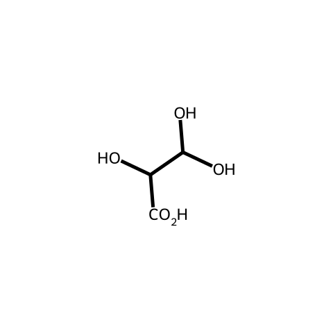 O=C(O)C(O)C(O)O